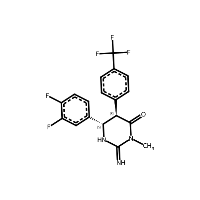 CN1C(=N)N[C@H](c2ccc(F)c(F)c2)[C@@H](c2ccc(C(F)(F)F)cc2)C1=O